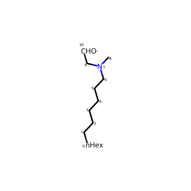 CCCCCCCCCCCCN(C)C[C]=O